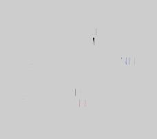 C[C@@H]1NCC[C@@H]2[C@@H]1CCC[C@H]2C(C)(O)C(F)F